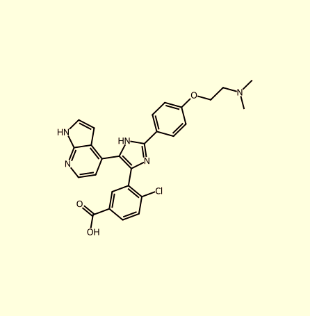 CN(C)CCOc1ccc(-c2nc(-c3cc(C(=O)O)ccc3Cl)c(-c3ccnc4[nH]ccc34)[nH]2)cc1